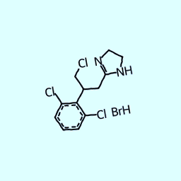 Br.ClCC(CC1=NCCN1)c1c(Cl)cccc1Cl